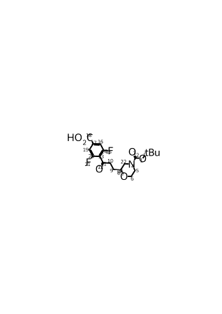 CC(C)(C)OC(=O)N1CCO[C@@H](CCC(=O)c2c(F)cc(C(=O)O)cc2F)C1